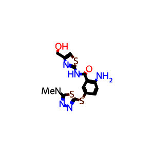 CNc1nnc(Sc2ccc(N)c(C(=O)Nc3nc(CO)cs3)c2)s1